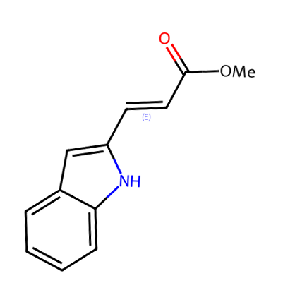 COC(=O)/C=C/c1cc2ccccc2[nH]1